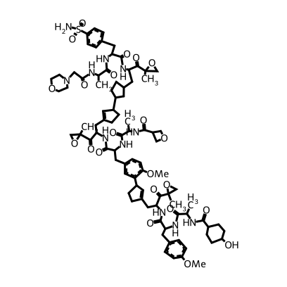 COc1ccc(CC(NC(=O)C(C)NC(=O)C2CCC(O)CC2)C(=O)NC(CC2=CC(c3cc(CC(NC(=O)C(C)NC(=O)C4COC4)C(=O)NC(CC4=CC(C5CCC(CC(NC(=O)C(Cc6ccc(S(N)(=O)=O)cc6)NC(=O)C(C)NC(=O)CN6CCOCC6)C(=O)C6(C)CO6)C5)CC4)C(=O)C4(C)CO4)ccc3OC)CC2)C(=O)C2(C)CO2)cc1